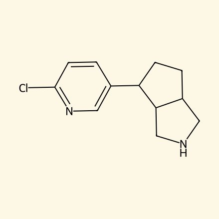 Clc1ccc(C2CCC3CNCC32)cn1